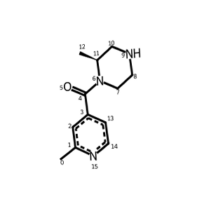 Cc1cc(C(=O)N2CCNC[C@@H]2C)ccn1